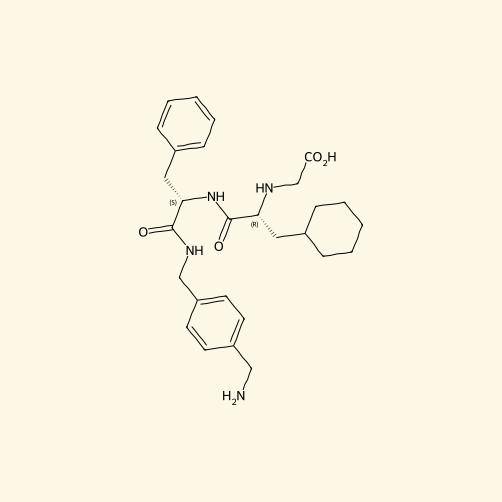 NCc1ccc(CNC(=O)[C@H](Cc2ccccc2)NC(=O)[C@@H](CC2CCCCC2)NCC(=O)O)cc1